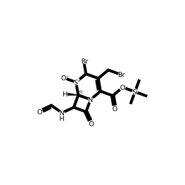 C[Si](C)(C)OC(=O)C1=C(CBr)C(Br)[S+]([O-])[C@H]2C(NC=O)C(=O)N12